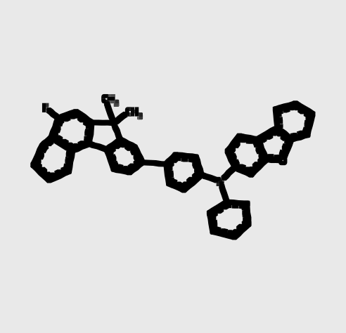 CC1(C)c2cc(-c3ccc(N(c4ccccc4)c4ccc5c(c4)oc4ccccc45)cc3)ccc2-c2c1cc(F)c1ccccc21